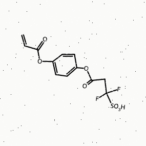 C=CC(=O)Oc1ccc(OC(=O)CC(F)(F)S(=O)(=O)O)cc1